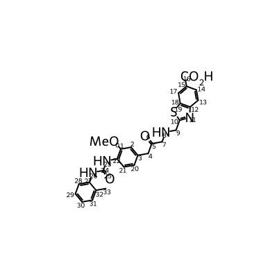 COc1cc(CC(=O)CNCc2nc3ccc(C(=O)O)cc3s2)ccc1NC(=O)Nc1ccccc1C